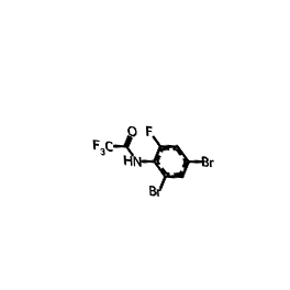 O=C(Nc1c(F)cc(Br)cc1Br)C(F)(F)F